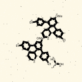 CCc1ccc(-c2cc(OC)cc(-c3ccc(CC)cc3)c2C2=CC=CSC2)cc1.CCc1ccc(-c2cc(OC)cc(-c3ccc(CC)cc3)c2C2=CC=CSC2)cc1.OB(O)F